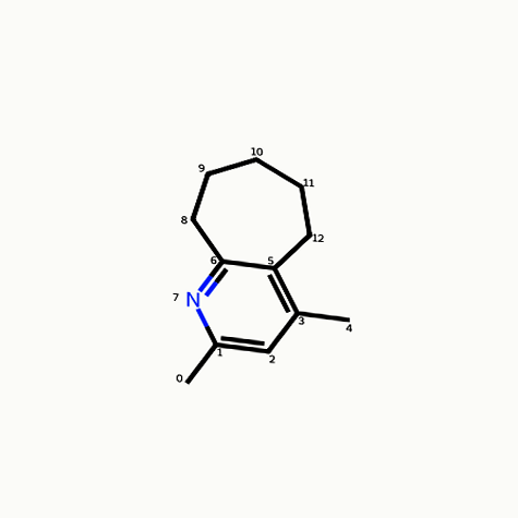 Cc1cc(C)c2c(n1)CCCCC2